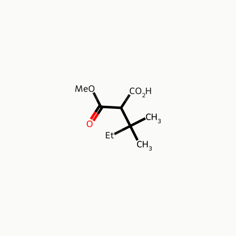 CCC(C)(C)C(C(=O)O)C(=O)OC